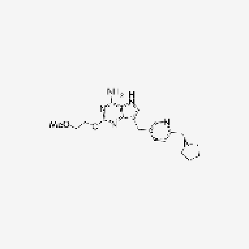 COCCOc1nc(N)c2[nH]cc(Cc3ccc(CN4CCCC4)nc3)c2n1